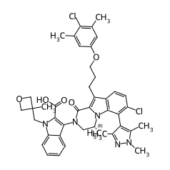 Cc1cc(OCCCc2c3n(c4c(-c5c(C)nn(C)c5C)c(Cl)ccc24)[C@H](C)CN(c2c(C(=O)O)n(CC4(C)COC4)c4ccccc24)C3=O)cc(C)c1Cl